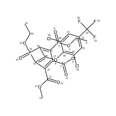 CCO[P](=O)c1c([N+](=O)[O-])c(C(=O)OC)c2c(Oc3c(Cl)cc(C(F)(F)F)cc3Cl)c1P2(=O)OCC